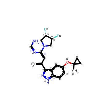 C=C(/C=C(\N=C/N)N1C[C@H](F)[C@@H](F)C1)c1n[nH]c2ccc(OC3(C)CC3)cc12